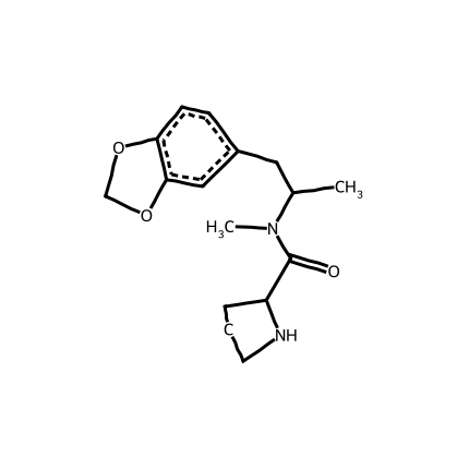 CC(Cc1ccc2c(c1)OCO2)N(C)C(=O)C1CCCN1